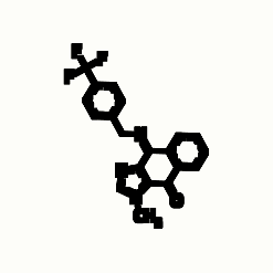 Cn1cnc2c1C(=O)c1ccccc1/C2=N/Cc1ccc(C(F)(F)F)cc1